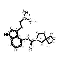 CN(C)CCc1c[nH]c2cccc(OC(=O)N3CCC4(COC4)C3)c12